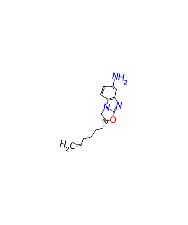 C=CCCCC[C@@H]1Cn2c(nc3cc(N)ccc32)O1